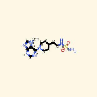 Cn1cnc2ncnc(N3CCC(CCNS(N)(=O)=O)CC3)c21